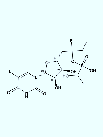 CCC(F)(C[C@H]1O[C@@H](n2cc(I)c(=O)[nH]c2=O)[C@H](O)[C@@H]1O)OP(=O)(O)C(C)O